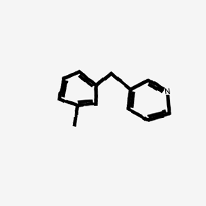 Cc1cccc(Cc2cccnc2)c1